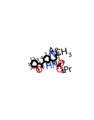 CC(=O)N1c2ccc(-c3coc4ccccc34)cc2[C@H](NC(=O)OC(C)C)C[C@@H]1C